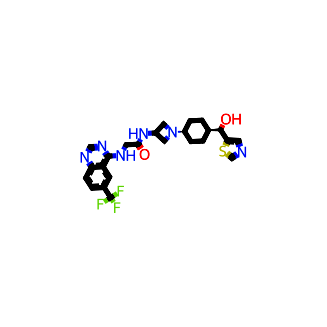 O=C(CNc1ncnc2ccc(C(F)(F)F)cc12)NC1CN([C@H]2CC[C@H](C(O)c3cncs3)CC2)C1